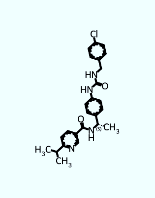 CC(C)c1ccc(C(=O)N[C@@H](C)c2ccc(NC(=O)NCc3ccc(Cl)cc3)cc2)cn1